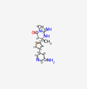 CN1C(=N)N[C@](C)(c2cc(-c3cncc(N)c3)cs2)CC1=O